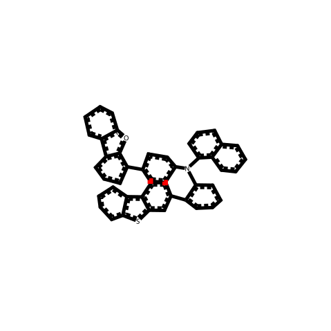 c1ccc(N(c2ccc(-c3cccc4c3oc3ccccc34)cc2)c2cccc3ccccc23)c(-c2ccc3c(c2)sc2ccccc23)c1